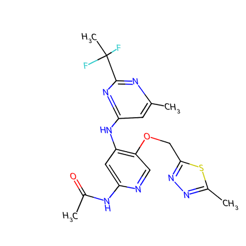 CC(=O)Nc1cc(Nc2cc(C)nc(C(C)(F)F)n2)c(OCc2nnc(C)s2)cn1